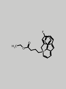 CCOC(=O)CCC[N+]1(Cc2ccnc(F)c2)C=CC=C2C=c3cccnc3=C21